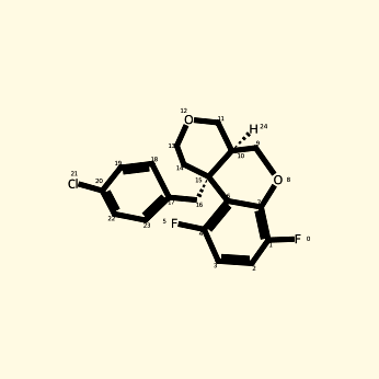 Fc1ccc(F)c2c1OC[C@@H]1COCC[C@]21Cc1ccc(Cl)cc1